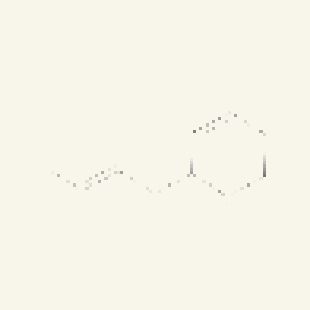 CCC=CCC1C=CCCC1